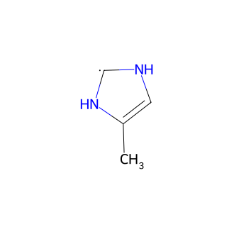 CC1=CN[CH]N1